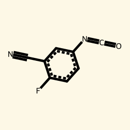 N#Cc1cc(N=C=O)ccc1F